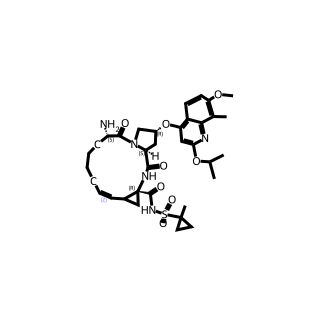 COc1ccc2c(O[C@@H]3C[C@H]4C(=O)N[C@]5(C(=O)NS(=O)(=O)C6(C)CC6)CC5/C=C\CCCC[C@H](N)C(=O)N4C3)cc(OC(C)C)nc2c1C